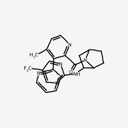 Cc1ccnc(C(=O)N2C3CCC2C(Nc2ncc(C(F)(F)F)cn2)C3)c1-c1ncccn1